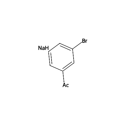 CC(=O)c1cccc(Br)c1.[NaH]